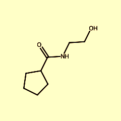 O=C(NCCO)C1CCCC1